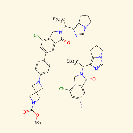 CCOC(=O)C(c1ncn2c1CCC2)N1Cc2c(Cl)cc(-c3ccc(N4CC5(CN(C(=O)OC(C)(C)C)C5)C4)cc3)cc2C1=O.CCOC(=O)C(c1ncn2c1CCC2)N1Cc2c(Cl)cc(I)cc2C1=O